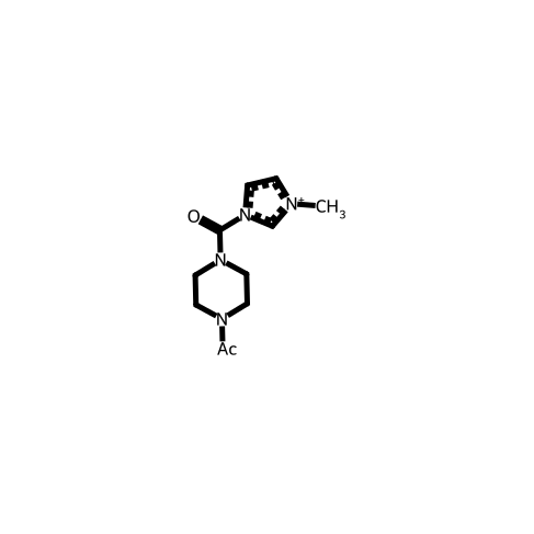 CC(=O)N1CCN(C(=O)n2cc[n+](C)c2)CC1